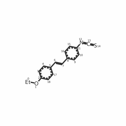 CCOc1ccc(C=Cc2ccc(N=C=S)cc2)cc1